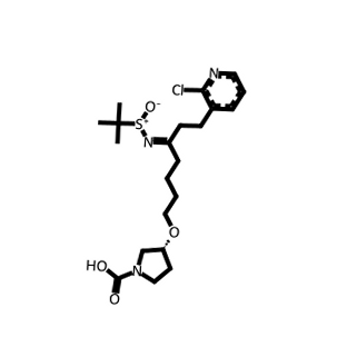 CC(C)(C)[S+]([O-])/N=C(/CCCCO[C@@H]1CCN(C(=O)O)C1)CCc1cccnc1Cl